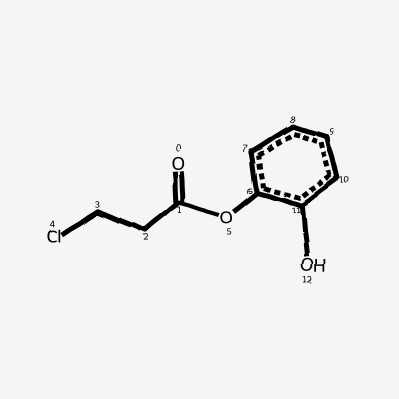 O=C(CCCl)Oc1ccccc1O